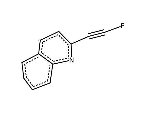 FC#Cc1c[c]c2ccccc2n1